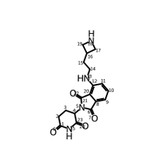 O=C1CCC(N2C(=O)c3cccc(NCCC4CNC4)c3C2=O)C(=O)N1